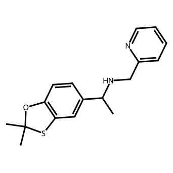 CC(NCc1ccccn1)c1ccc2c(c1)SC(C)(C)O2